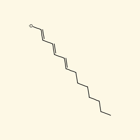 CCCCCCCC=CC=CC=C[O]